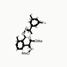 CO/N=C(/C(=O)OC)c1cccc(C)c1CO/N=C(\C)c1cc(C)cc(F)c1